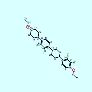 CCOc1ccc(C2CCC(c3ccc(C4CCC(OCC)CC4)c(F)c3F)CC2)c(F)c1F